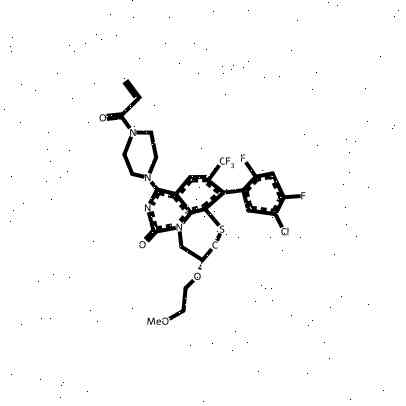 C=CC(=O)N1CCN(c2nc(=O)n3c4c(c(-c5cc(Cl)c(F)cc5F)c(C(F)(F)F)cc24)SC[C@H](OCCOC)C3)CC1